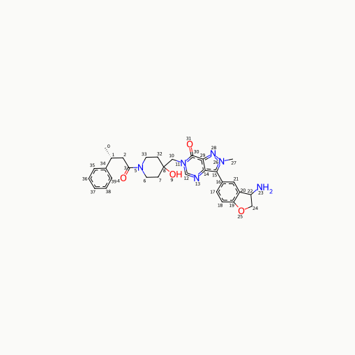 C[C@H](CC(=O)N1CCC(O)(Cn2cnc3c(-c4ccc5c(c4)C(N)CO5)n(C)nc3c2=O)CC1)c1ccccc1